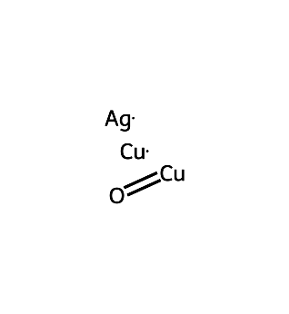 [Ag].[Cu].[O]=[Cu]